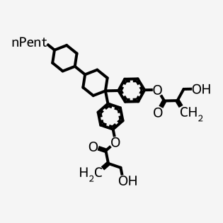 C=C(CO)C(=O)Oc1ccc(C2(c3ccc(OC(=O)C(=C)CO)cc3)CCC(C3CCC(CCCCC)CC3)CC2)cc1